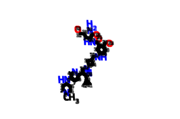 CN1CCC(Nc2ccc(-c3cn(C4CC(CNc5ccc(C=O)c(C(=O)NC(CCC=O)C(N)=O)c5)C4)nc3C3CC3)nc2)CC1